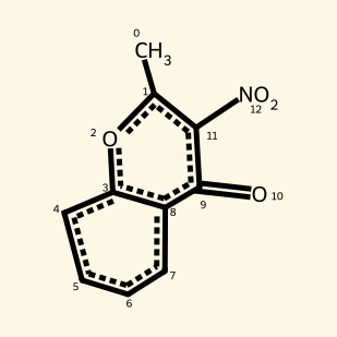 Cc1oc2ccccc2c(=O)c1[N+](=O)[O-]